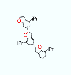 CC(C)c1cc(-c2cc3cccc(C(C)C)c3o2)cc2c1OC(c1cc(C(C)C)c3ccoc3c1)C2